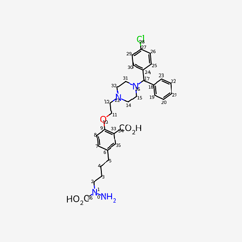 NN(CCCCc1ccc(OCCN2CCN(C(c3ccccc3)c3ccc(Cl)cc3)CC2)c(C(=O)O)c1)C(=O)O